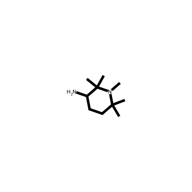 CN1C(C)(C)CCC(N)C1(C)C